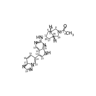 CC(=O)N1C[C@H]2C[C@@H](Nc3ncc4c(-c5ccc6ncnn6c5)c[nH]c4n3)C[C@H]2C1